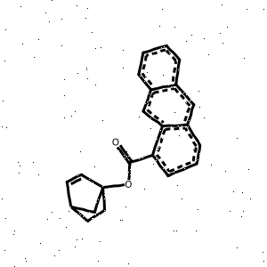 O=C(OC12C=CC(CC1)C2)c1cccc2cc3ccccc3cc12